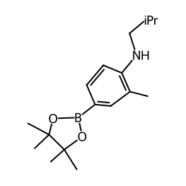 Cc1cc(B2OC(C)(C)C(C)(C)O2)ccc1NCC(C)C